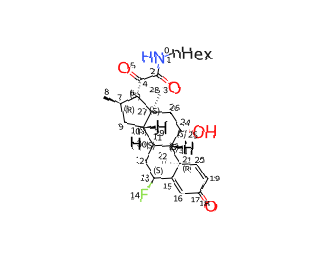 CCCCCCNC(=O)C(=O)[C@H]1[C@H](C)C[C@H]2[C@@H]3C[C@H](F)C4=CC(=O)C=C[C@]4(C)[C@H]3[C@@H](O)C[C@@]21C